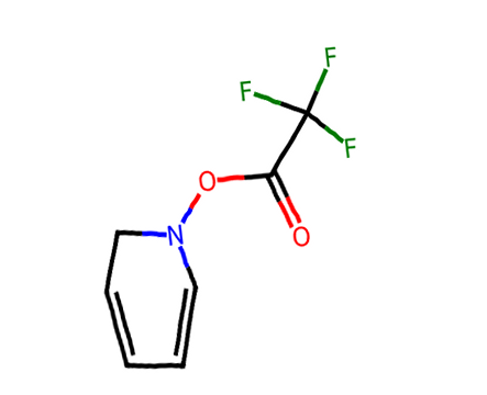 O=C(ON1C=CC=CC1)C(F)(F)F